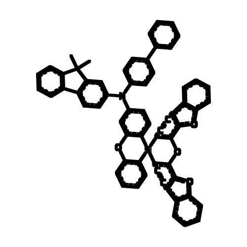 CC1(C)c2ccccc2-c2ccc(N(c3ccc(-c4ccccc4)cc3)c3ccc4c(c3)Oc3ccccc3[Si]43c4ccc5c(oc6ccccc65)c4Oc4c3ccc3c4oc4ccccc43)cc21